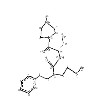 CC(=O)SCCN(CCc1ccccc1)C(=O)N[C@@H](CC(C)C)C(=O)N1CCN(C)CC1